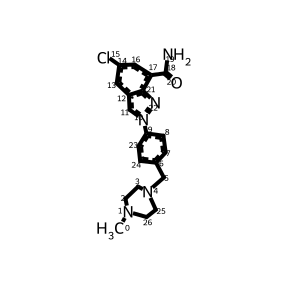 CN1CCN(Cc2ccc(-n3cc4cc(Cl)cc(C(N)=O)c4n3)cc2)CC1